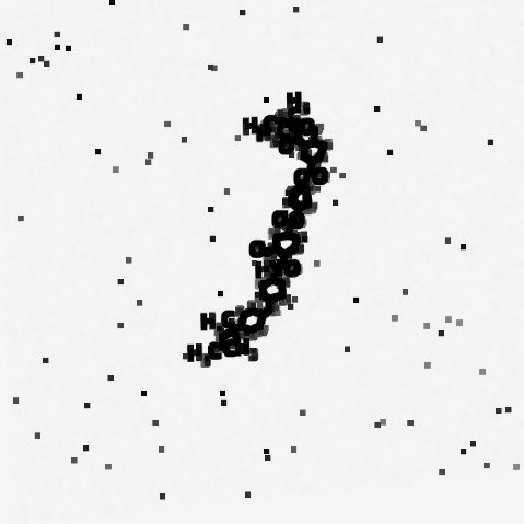 CCCC(C)(CC)C1CCC(CC2CCC(NC(=O)C3CCC(C(=O)Oc4ccc(OC(=O)C5CCC6CON(C(C)(C)CC)C(=O)C6C5)cc4)CC3C=O)CC2)CC1